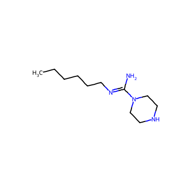 CCCCCCN=C(N)N1CCNCC1